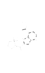 COC(=O)c1ccnc2cc(C(O)N3CCCC3(C)C)[nH]c12